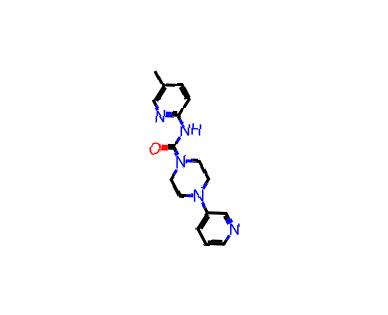 Cc1ccc(NC(=O)N2CCN(c3cccnc3)CC2)nc1